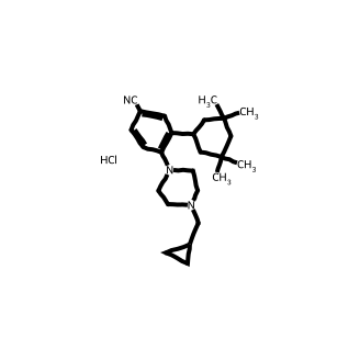 CC1(C)CC(c2cc(C#N)ccc2N2CCN(CC3CC3)CC2)CC(C)(C)C1.Cl